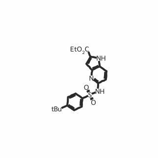 CCOC(=O)c1cc2nc(NS(=O)(=O)c3ccc(C(C)(C)C)cc3)ccc2[nH]1